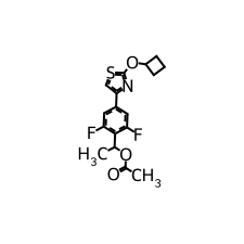 CC(=O)OC(C)c1c(F)cc(-c2csc(OC3CCC3)n2)cc1F